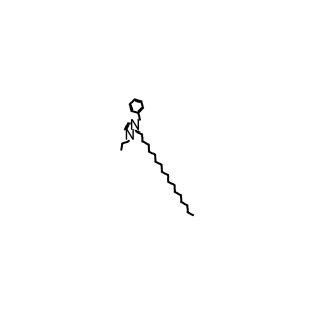 CCCCCCCCCCCCCCCCCc1n(Cc2ccccc2)cc[n+]1CCC